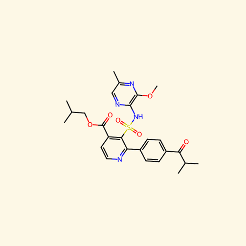 COc1nc(C)cnc1NS(=O)(=O)c1c(C(=O)OCC(C)C)ccnc1-c1ccc(C(=O)C(C)C)cc1